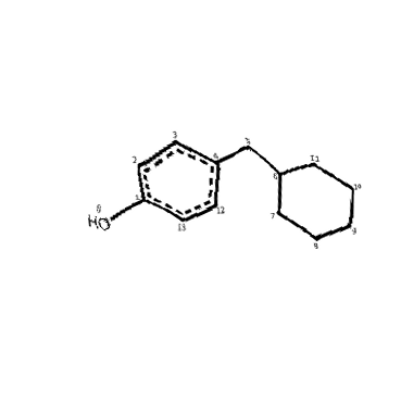 Oc1ccc([CH]C2CCCCC2)cc1